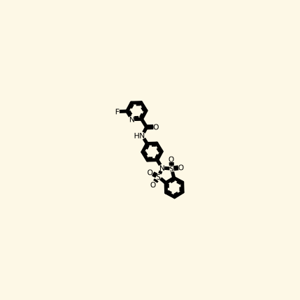 O=C(Nc1ccc(N2S(=O)(=O)c3ccccc3S2(=O)=O)cc1)c1cccc(F)n1